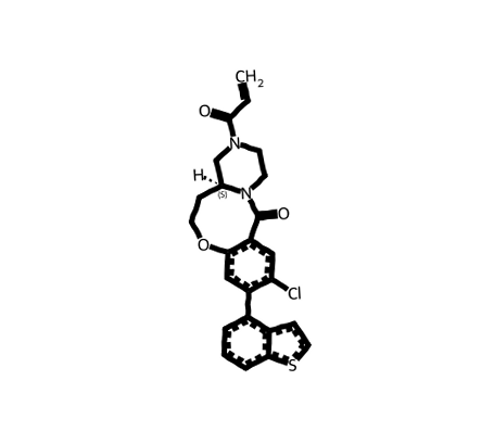 C=CC(=O)N1CCN2C(=O)c3cc(Cl)c(-c4cccc5sccc45)cc3OCC[C@H]2C1